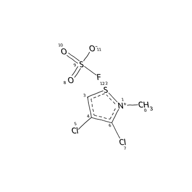 C[n+]1scc(Cl)c1Cl.O=S(=O)([O-])F